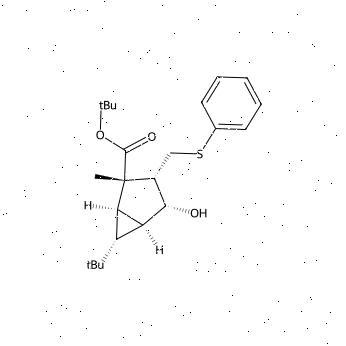 CC(C)(C)OC(=O)[C@@]1(C)[C@H]2[C@@H]([C@@H](O)[C@H]1CSc1ccccc1)[C@@H]2C(C)(C)C